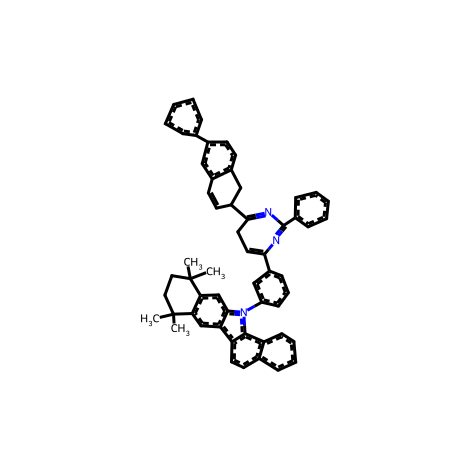 CC1(C)CCC(C)(C)c2cc3c(cc21)c1ccc2ccccc2c1n3-c1cccc(C2=CCC(C3C=Cc4cc(-c5ccccc5)ccc4C3)=NC(c3ccccc3)=N2)c1